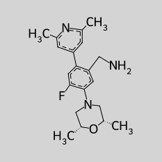 Cc1cc(-c2cc(F)c(N3C[C@@H](C)O[C@@H](C)C3)cc2CN)cc(C)n1